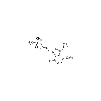 C=Cc1nn(COCC[Si](C)(C)C)c2c(F)ccc(OC)c12